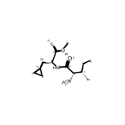 CC[C@H](C)[C@H](N)C(=O)N[C@@H](CC1CC1)C(=O)OC